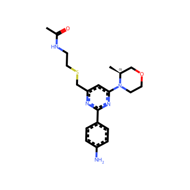 CC(=O)NCCSCc1cc(N2CCOC[C@@H]2C)nc(-c2ccc(N)cc2)n1